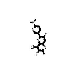 Cc1nc2cc(F)c(-c3ccc(P(C)C)nc3)nc2c(Cl)c1F